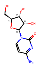 Nc1ccn([C@H]2O[C@@H](CO)[C@H](O)[C@@H]2O)c(=O)n1